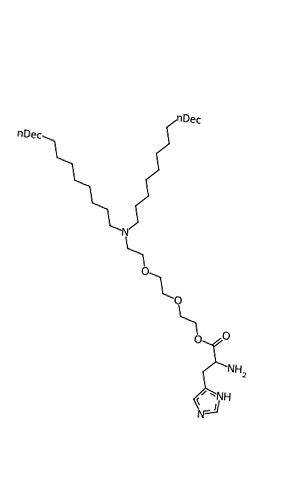 CCCCCCCCCCCCCCCCCCN(CCCCCCCCCCCCCCCCCC)CCOCCOCCOC(=O)C(N)Cc1cnc[nH]1